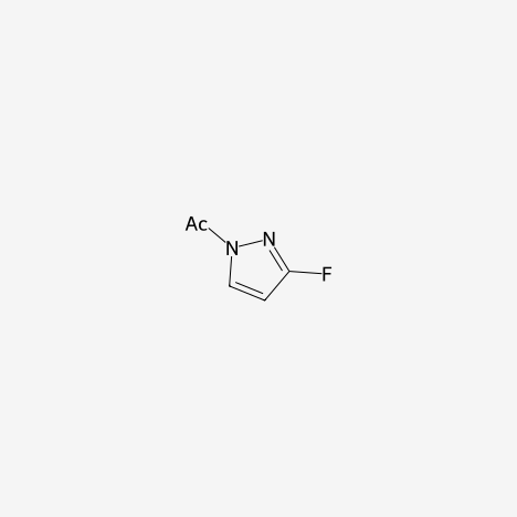 CC(=O)n1ccc(F)n1